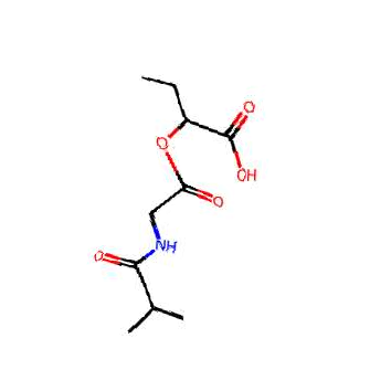 CCC(OC(=O)CNC(=O)C(C)C)C(=O)O